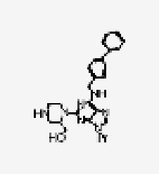 CC(C)n1cnc2c(NCc3ccc(-c4ccccc4)cc3)nc(N3CCNC[C@@H]3CO)nc21